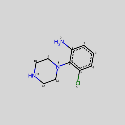 Nc1cccc(Cl)c1N1CCNCC1